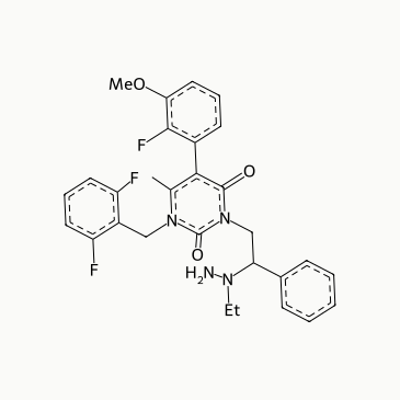 CCN(N)C(Cn1c(=O)c(-c2cccc(OC)c2F)c(C)n(Cc2c(F)cccc2F)c1=O)c1ccccc1